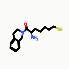 N[C@@H](CCCCCS)C(=O)N1CCc2ccccc2C1